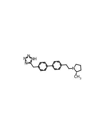 C[C@@H]1CCCN1CCc1ccc(-c2ccc(Cc3nnn[nH]3)cc2)cc1